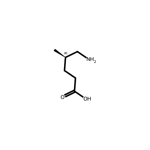 C[C@@H](CN)CCC(=O)O